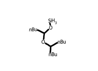 CCCCC(CCCC)OC(CCCC)O[SiH3]